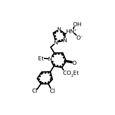 CCOC(=O)c1c(-c2ccc(Cl)c(Cl)c2)n(CC)c(Cn2cnc([NH+]([O-])O)n2)cc1=O